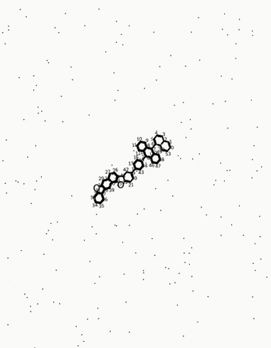 C1=CC2C=CC=C(c3c4ccccc4c(-c4ccc(C5=CC=C6Oc7c(ccc8cc9oc%10ccccc%10c9cc78)C6C5)cc4)c4ccccc34)C2C=C1